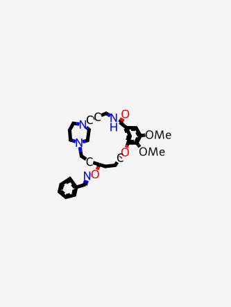 COc1cc2cc(c1OC)OCCCC(O/N=C/c1ccccc1)CCN1CCCN(CCCNC2=O)CC1